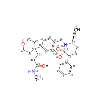 C#C[C@H]1CC[C@H](c2ccccc2)S(=O)(=O)N1Cc1ccc(C2(CCC(=O)NC)CCOCC2)cc1F